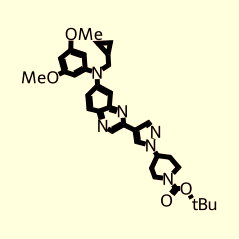 COc1cc(OC)cc(N(CC2CC2)c2ccc3ncc(-c4cnn(C5CCN(C(=O)OC(C)(C)C)CC5)c4)nc3c2)c1